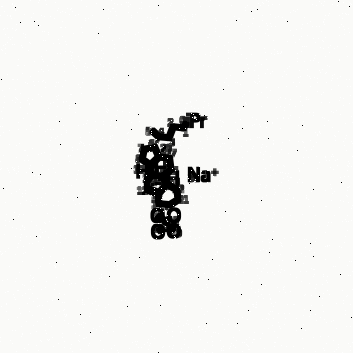 CC(C)CCCC(C)[C@H]1CC[C@H]2[C@@H]3CC=C4C[C@@H](OS(=O)(=O)[O-])CC[C@]4(C)[C@H]3CC[C@]12C.[Na+]